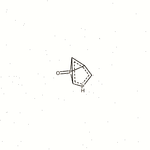 O=P12c3[c][pH]c1c32